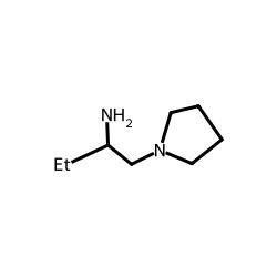 CCC(N)CN1CCCC1